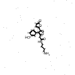 Cl.NCCCCNC(=O)Cc1onc(-c2ccc(Cl)o2)c1-c1ccccc1